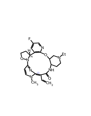 C=C/C1=C2/N=C(C=CN2C)N2OCC[C@@H]2c2cc(F)cnc2OC2CN(CC)CCC2NC1=O